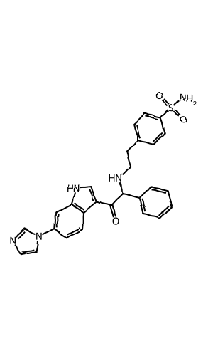 NS(=O)(=O)c1ccc(CCN[C@H](C(=O)c2c[nH]c3cc(-n4ccnc4)ccc23)c2ccccc2)cc1